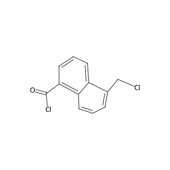 O=C(Cl)c1cccc2c(CCl)cccc12